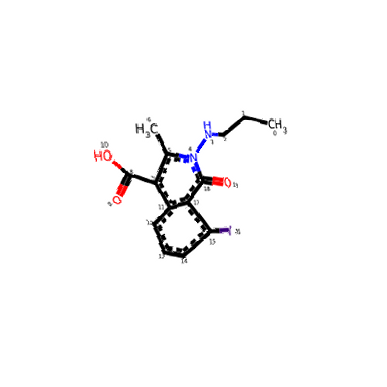 CCCNn1c(C)c(C(=O)O)c2cccc(I)c2c1=O